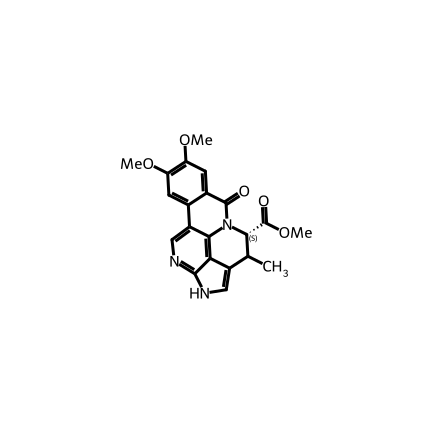 COC(=O)[C@@H]1C(C)c2c[nH]c3ncc4c5cc(OC)c(OC)cc5c(=O)n1c4c23